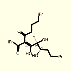 CC(C)CCCC(=O)/C(C(=O)C(C)C)=C(/O)[C@@](C)(O)[C@@H](O)CCC(C)C